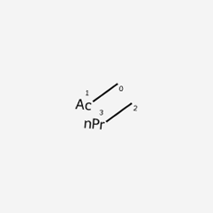 CC(C)=O.CCCC